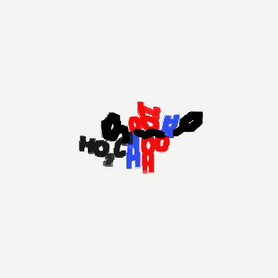 O=C(NCc1ccccc1)C(O)C(O)C(=O)N[C@H](Cc1ccccc1)C(=O)O